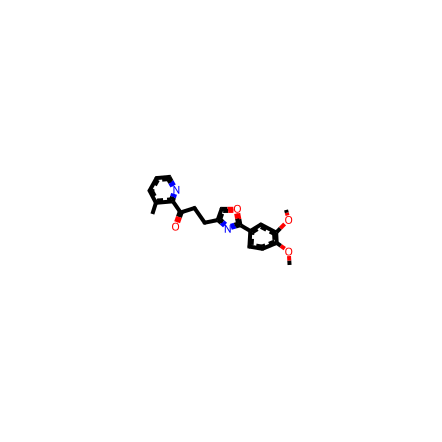 COc1ccc(-c2nc(CCC(=O)c3ncccc3C)co2)cc1OC